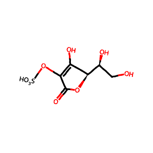 O=C1O[C@H]([C@@H](O)CO)C(O)=C1OS(=O)(=O)O